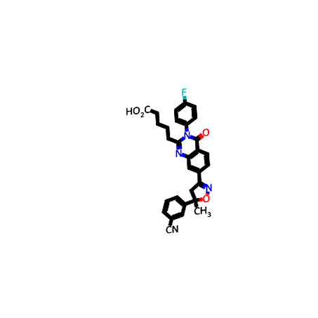 CC1(c2cccc(C#N)c2)CC(c2ccc3c(=O)n(-c4ccc(F)cc4)c(CCCCC(=O)O)nc3c2)=NO1